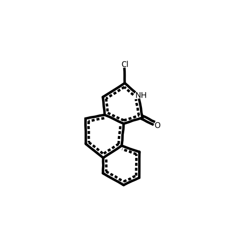 O=c1[nH]c(Cl)cc2ccc3ccccc3c12